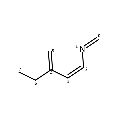 C=N/C=C\C(=C)CC